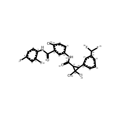 O=C(Nc1ccc(F)cc1F)c1cc(NC(=O)C2C(c3cccc(C(F)F)c3)C2(Cl)Cl)ccc1Cl